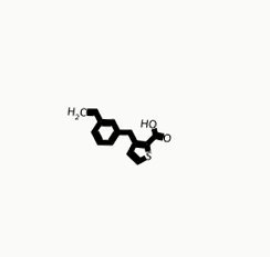 C=Cc1cccc(Cc2ccsc2C(=O)O)c1